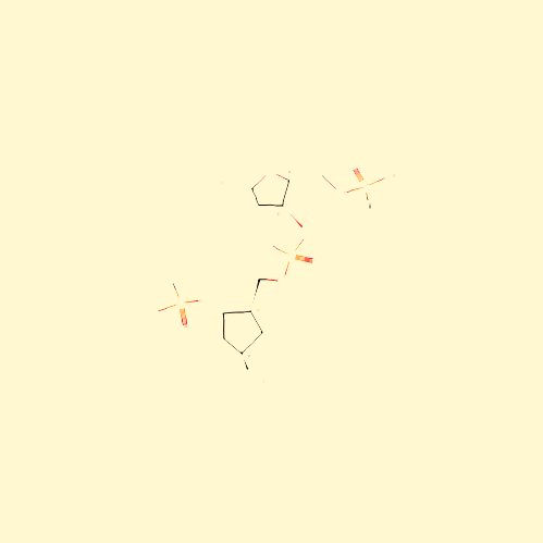 CC(C)P(=O)(O)OC[C@H]1O[C@@H](C)C[C@@H]1OP(=O)(O)OC[C@H]1C[C@@H](C)C[C@@H]1OP(=O)(O)C(C)C